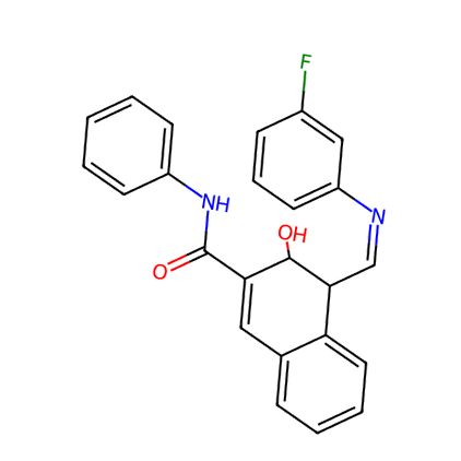 O=C(Nc1ccccc1)C1=Cc2ccccc2C(/C=N\c2cccc(F)c2)C1O